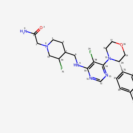 NC(=O)CN1CCC(CNc2ncnc(N3CCOC[C@@H]3c3ccc(C(F)(F)F)cc3)c2F)C(F)C1